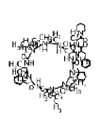 CC(C)C[C@H]1C(=O)N(C)[C@@H](C(C)C)C(=O)N[C@@H](Cc2ccccc2)C(=O)N[C@H](C(=O)N(C)C(Cc2ccccc2)C(=O)NC(C)C(=O)N2CCCCC2)CC(=O)N[C@H](C)C(=O)N[C@@H](C(C)C)C(=O)N(C)[C@@H](CC(C)C)C(=O)N[C@@H]([C@@H](C)O)C(=O)N(C)[C@@H](Cc2ccccc2)C(=O)NCC(=O)N1C